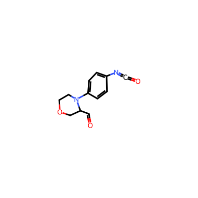 O=C=Nc1ccc(N2CCOCC2C=O)cc1